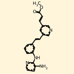 COC(=O)C=Cc1cncc(C=Cc2cccc(Nc3ncccc3N)c2)c1